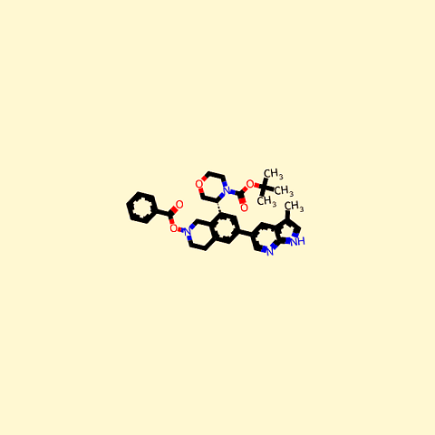 Cc1c[nH]c2ncc(-c3cc4c(c([C@@H]5COCCN5C(=O)OC(C)(C)C)c3)CN(OC(=O)c3ccccc3)CC4)cc12